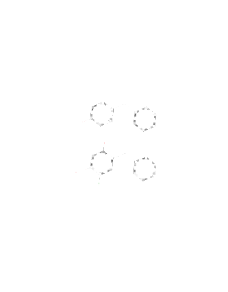 Oc1cc(O)c(Cc2ccccc2)cc1Br.Oc1ccc(Cc2ccccc2)c(O)c1